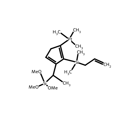 C=CC[Si](C)(C)C1=[C]([Pt]([CH3])([CH3])[CH3])CC=C1C(C)[Si](OC)(OC)OC